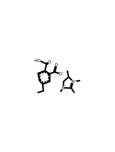 CC1=[N+](C)C(C)CN1C.CCc1ccc(C(=O)O)c(C(=O)[O-])c1